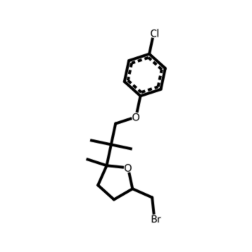 CC(C)(COc1ccc(Cl)cc1)C1(C)CCC(CBr)O1